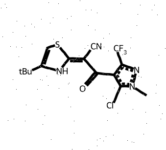 Cn1nc(C(F)(F)F)c(C(=O)/C(C#N)=C2\NC(C(C)(C)C)=CS2)c1Cl